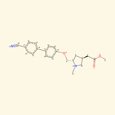 COC(=O)C[C@@H]1C[C@@H](COc2ccc(-c3ccc(C#N)cc3)cc2)N(C)C1